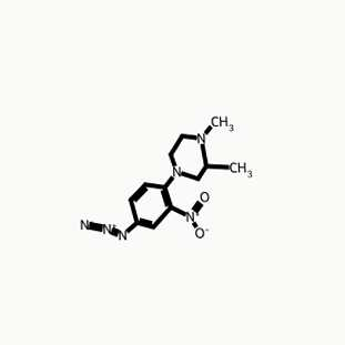 CC1CN(c2ccc(N=[N+]=[N-])cc2[N+](=O)[O-])CCN1C